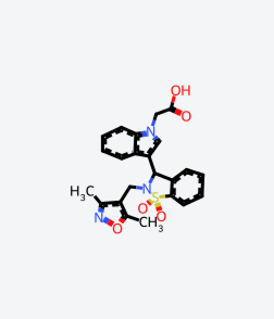 Cc1noc(C)c1CN1C(c2cn(CC(=O)O)c3ccccc23)c2ccccc2S1(=O)=O